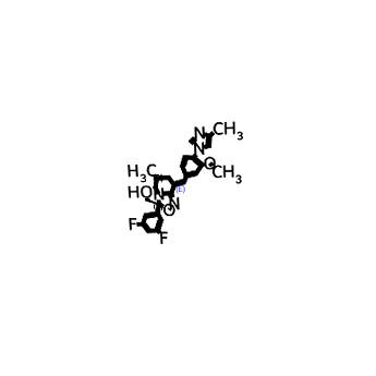 COc1cc(/C=C2\C[C@@H](C)CN3C2=NO[C@]3(CO)c2cc(F)cc(F)c2)ccc1-n1cnc(C)c1